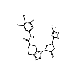 Cc1nc(C2CC(=O)N(c3cnn4c3CC(C(=O)Nc3cc(F)c(F)c(F)c3)CC4)C2)no1